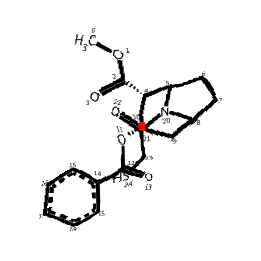 COC(=O)[C@@H]1C2CCC(C[C@@H]1OC(=O)c1ccccc1)N2C(=O)CS